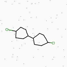 ClC1CCC(C2CCC(Cl)CC2)CC1